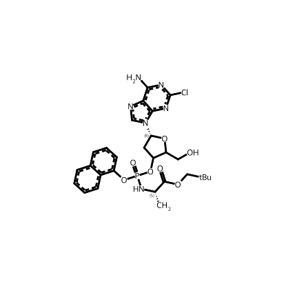 C[C@H](NP(=O)(Oc1cccc2ccccc12)OC1C[C@H](n2cnc3c(N)nc(Cl)nc32)OC1CO)C(=O)OCC(C)(C)C